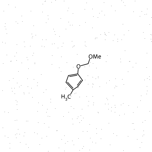 COCOc1c[c]c(C)cc1